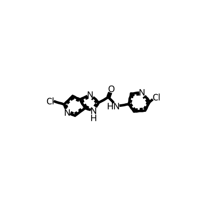 O=C(Nc1ccc(Cl)nc1)c1nc2cc(Cl)ncc2[nH]1